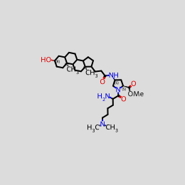 COC(=O)[C@@H]1C[C@H](NC(=O)CCC2CCC3C4CCC5C[C@H](O)CC[C@]5(C)C4CC[C@]23C)CN1C(=O)C(N)CCCCN(C)C